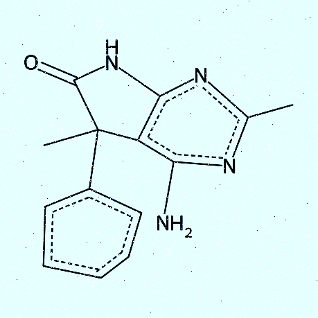 Cc1nc(N)c2c(n1)NC(=O)C2(C)c1ccccc1